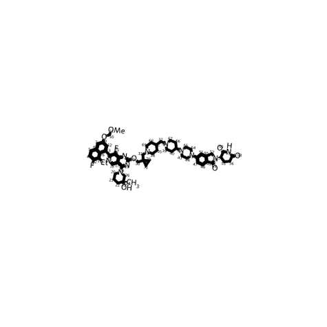 CCc1c(F)ccc2cc(OCOC)cc(-c3ncc4c(N5CCC[C@@](C)(O)C5)nc(OCC5(CN6CCC(CN7CCC(N8CCN(c9ccc%10c(c9)CN([C@H]9CCC(=O)NC9=O)C%10=O)CC8)CC7)CC6)CC5)nc4c3F)c12